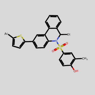 CCC1c2ccccc2-c2cc(-c3ccc(C(C)=O)s3)ccc2N1S(=O)(=O)c1ccc(O)c(C)c1